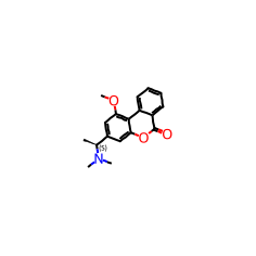 COc1cc([C@H](C)N(C)C)cc2oc(=O)c3ccccc3c12